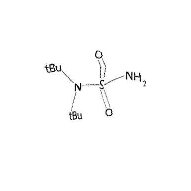 CC(C)(C)N(C(C)(C)C)S(N)(=O)=O